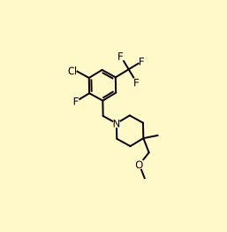 COCC1(C)CCN(Cc2cc(C(F)(F)F)cc(Cl)c2F)CC1